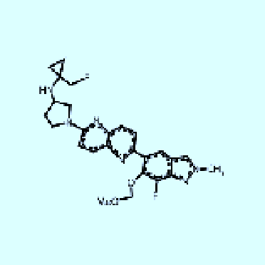 COCOc1c(-c2ccc3nc(N4CCC(NC5(CF)CC5)C4)ccc3n2)cc2cn(C)nc2c1F